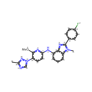 COc1nc(Nc2cccc3c2nc(-c2ccc(F)cc2)n3C)ccc1-n1cnc(C)n1